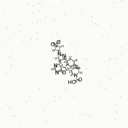 O=C(O)N1C=C(c2cc3c(-c4cn(C5CS(=O)(=O)C5)nc4-c4ccc(F)cc4)ncnc3o2)CCC1